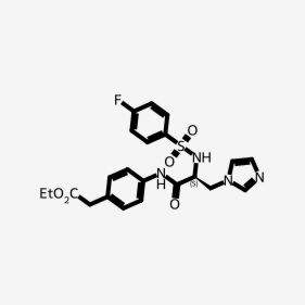 CCOC(=O)Cc1ccc(NC(=O)[C@H](Cn2ccnc2)NS(=O)(=O)c2ccc(F)cc2)cc1